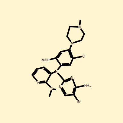 COc1cc(N2CCN(C)CC2)c(Cl)cc1N(c1ncc(Br)c(N)n1)c1cccnc1N(C)C